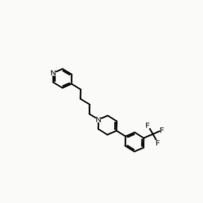 FC(F)(F)c1cccc(C2=CCN(CCCCc3ccncc3)CC2)c1